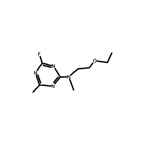 CCOCCN(C)c1nc(C)nc(F)n1